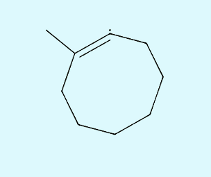 C/C1=[C]/CCCCCC1